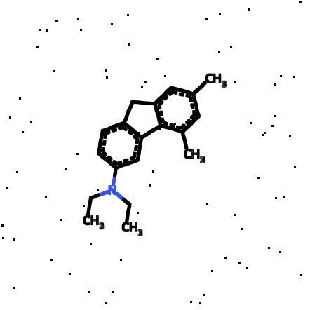 CCN(CC)c1ccc2c(c1)-c1c(C)cc(C)cc1C2